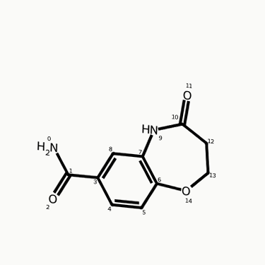 NC(=O)c1ccc2c(c1)NC(=O)CCO2